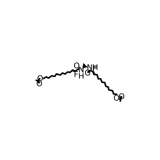 CC(=O)OCCCCCCCCCCC/C=C(\F)C(=O)N[C@H]1C[C@H]1NC(=O)/C(F)=C/CCCCCCCCCCCOC(C)=O